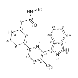 CCNC(=O)CC1CN(c2ccc(C(F)(F)F)c(-c3n[nH]c4ncccc34)n2)CCN1